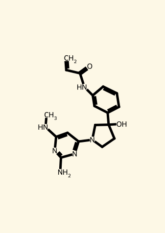 C=CC(=O)Nc1cccc(C2(O)CCN(c3cc(NC)nc(N)n3)C2)c1